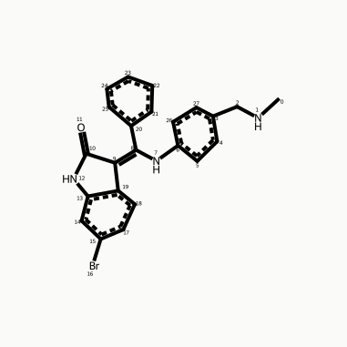 CNCc1ccc(NC(=C2C(=O)Nc3cc(Br)ccc32)c2ccccc2)cc1